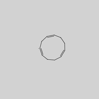 [C]1=CCCC=CCCC=CC1